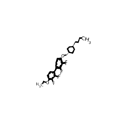 CCCC[C@H]1CC[C@H](COc2ccc(-c3ccc(OCC)c(F)c3F)c(F)c2F)CC1